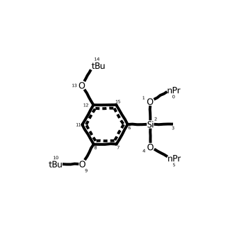 CCCO[Si](C)(OCCC)c1cc(OC(C)(C)C)cc(OC(C)(C)C)c1